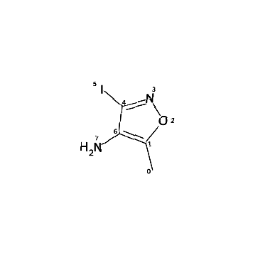 Cc1onc(I)c1N